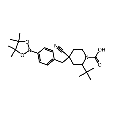 CC(C)(C)C1CC(C#N)(Cc2ccc(B3OC(C)(C)C(C)(C)O3)cc2)CCN1C(=O)O